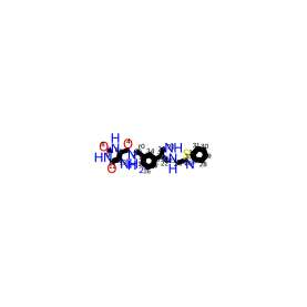 C[C@@H](NC(=O)c1[nH]c(=O)[nH]c(=O)c1N)c1cccc(/C(C=N)=C/NCc2nc3ccccc3s2)c1